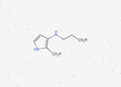 O=C(O)CCNc1cc[nH]c1C(=O)O